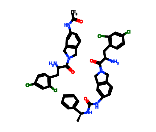 C[C@H](NC(=O)Nc1ccc2c(c1)CN(C(=O)C(N)Cc1ccc(Cl)cc1Cl)C2)c1ccccc1.NC(Cc1ccc(Cl)cc1Cl)C(=O)N1Cc2ccc(NC(=O)C(F)(F)F)cc2C1